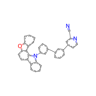 N#Cc1cc(-c2cccc(-c3cccc(-n4c5ccccc5c5ccc6oc7ccccc7c6c54)c3)c2)ccn1